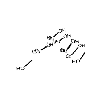 CC(C)(C)O.CC(C)(C)O.CCC(C)O.CCCCO.CCO.CO.CO